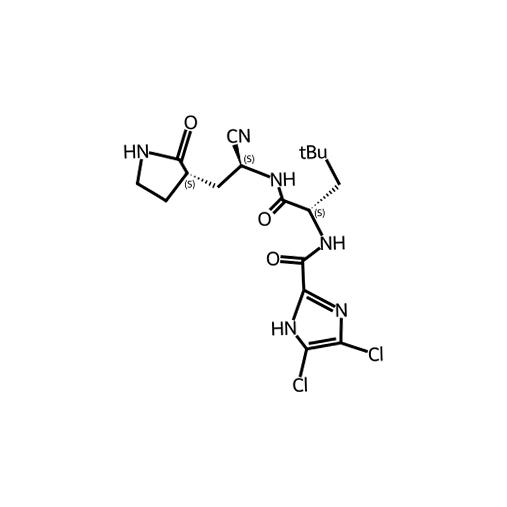 CC(C)(C)C[C@H](NC(=O)c1nc(Cl)c(Cl)[nH]1)C(=O)N[C@H](C#N)C[C@@H]1CCNC1=O